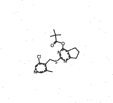 Cc1cncc(Cl)c1CSc1nc2c(c(OC(=O)C(C)(C)C)n1)CCC2